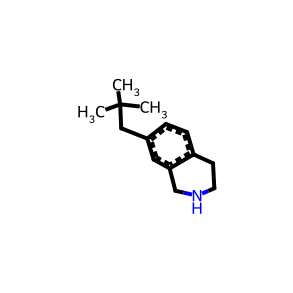 CC(C)(C)Cc1ccc2c(c1)CNCC2